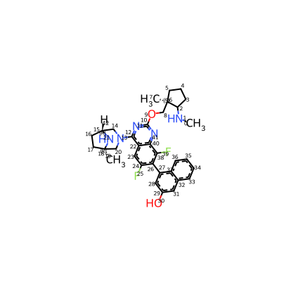 CNC1CCC[C@]1(C)COc1nc(N2C[C@H]3CC[C@](C)(C2)N3)c2cc(F)c(-c3cc(O)cc4ccccc34)c(F)c2n1